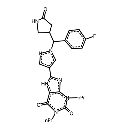 CCCn1c(=O)c2[nH]c(-c3cnn(C(c4ccc(F)cc4)C4CNC(=O)C4)c3)nc2n(CCC)c1=O